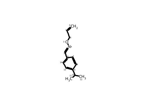 C=CCO/N=C/c1ccc(C(C)C)cc1